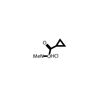 CNOC(=O)C1CC1.Cl